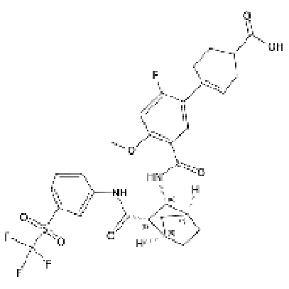 COc1cc(F)c(C2=CCC(C(=O)O)CC2)cc1C(=O)N[C@@H]1[C@H]2CC[C@H](C2)[C@@H]1C(=O)Nc1cccc(S(=O)(=O)C(F)(F)F)c1